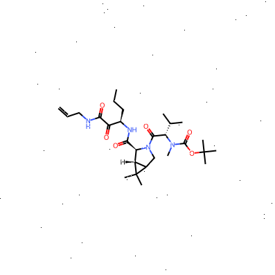 C=CCNC(=O)C(=O)[C@@H](CCC)NC(=O)[C@@H]1[C@@H]2C(CN1C(=O)[C@H](C(C)C)N(C)C(=O)OC(C)(C)C)C2(C)C